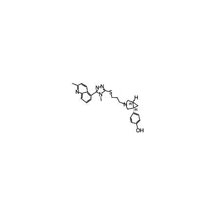 Cc1ccc2c(-c3nnc(SCCCN4C[C@@H]5C[C@@]5(c5ccc(O)cc5)C4)n3C)cccc2n1